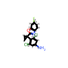 Nc1cc(Cl)c(C2(c3nc4ccc(F)cc4o3)CC2)c(Cl)c1